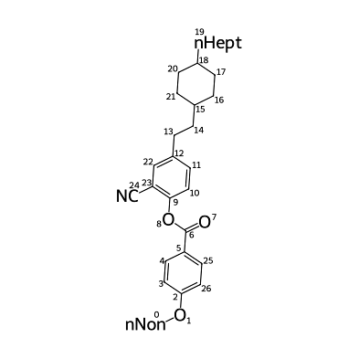 CCCCCCCCCOc1ccc(C(=O)Oc2ccc(CCC3CCC(CCCCCCC)CC3)cc2C#N)cc1